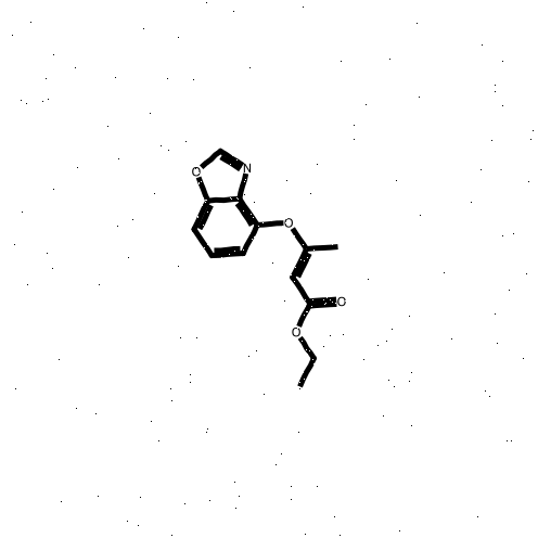 CCOC(=O)C=C(C)Oc1cccc2ocnc12